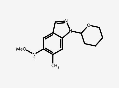 CONc1cc2cnn(C3CCCCO3)c2cc1C